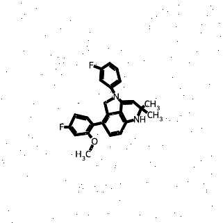 COc1cc(F)ccc1-c1ccc2c3c1CN(c1cccc(F)c1)C3=CC(C)(C)N2